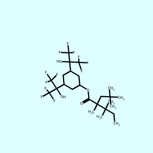 CCC(C)(C)C(C)(CC(C)(C)C)C(=O)OC1CC(C(O)(C(F)(F)F)C(F)(F)F)CC(C(O)(C(F)(F)F)C(F)(F)F)C1